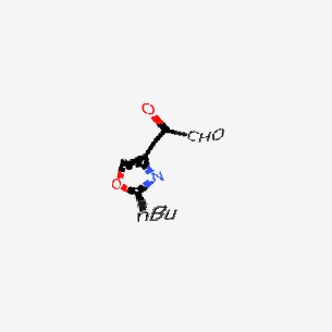 CCCCc1nc(C(=O)C=O)co1